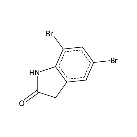 O=C1Cc2cc(Br)cc(Br)c2N1